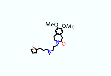 COc1cc2c(cc1OC)CC(=O)N(CCCN(C)CCCc1cccs1)CC2